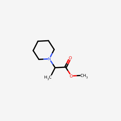 COC(=O)C(C)N1CCCCC1